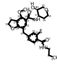 CCCNC(=O)c1ccc(Cc2cc(C(=O)N[C@H]3CCOC[C@@H]3O)c(OC)c3c2OCC3)cc1F